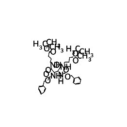 CC(C)(C)OC(=O)CCCNC(=O)[C@@H](NC(=O)OCc1ccccc1)[C@@H](NC(=O)OCc1ccccc1)C(=O)NCCCC(=O)OC(C)(C)C